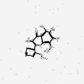 COc1ccccc1-c1oc2c(OC)c(O)c(O)c(O)c2c(=O)c1O